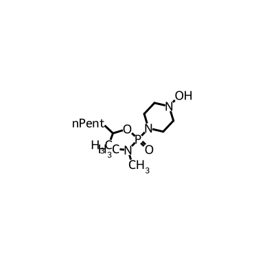 CCCCCC(C)OP(=O)(N(C)C)N1CCN(O)CC1